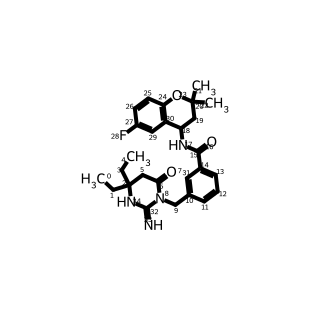 CCC1(CC)CC(=O)N(Cc2cccc(C(=O)NC3CC(C)(C)Oc4ccc(F)cc43)c2)C(=N)N1